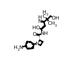 CC(C)(CO)C(=N)/C=C(\O)NC(=O)[C@@H]1CCN1c1ccc(N)cc1